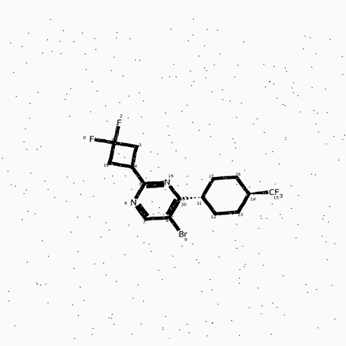 FC1(F)CC(c2ncc(Br)c([C@H]3CC[C@H](C(F)(F)F)CC3)n2)C1